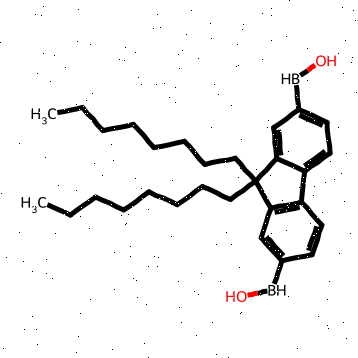 CCCCCCCCC1(CCCCCCCC)c2cc(BO)ccc2-c2ccc(BO)cc21